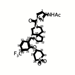 CC(=O)Nc1ccn(C(=O)N2CCC3(CCCN3Cc3ccc(C(F)(F)F)cc3OC3CCS(=O)(=O)CC3)CC2)n1